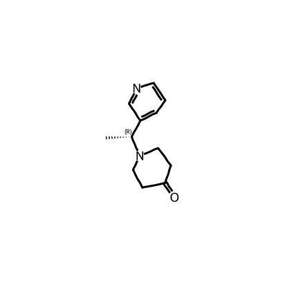 C[C@H](c1cccnc1)N1CCC(=O)CC1